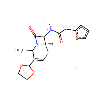 O=C(Cc1cccs1)NC1C(=O)N2C(C(=O)O)C(C3OCCO3)=CS[C@H]12